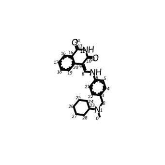 CN(Cc1ccc(NC=C2C(=O)NC(=O)c3ccccc32)cc1)C1CCCCC1